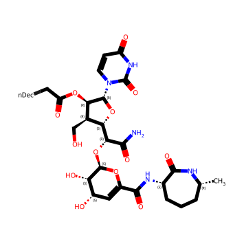 CCCCCCCCCCCC(=O)O[C@@H]1[C@H](CO)[C@@H]([C@@H](O[C@H]2OC(C(=O)N[C@H]3CCC[C@@H](C)NC3=O)=C[C@H](O)[C@@H]2O)C(N)=O)O[C@H]1n1ccc(=O)[nH]c1=O